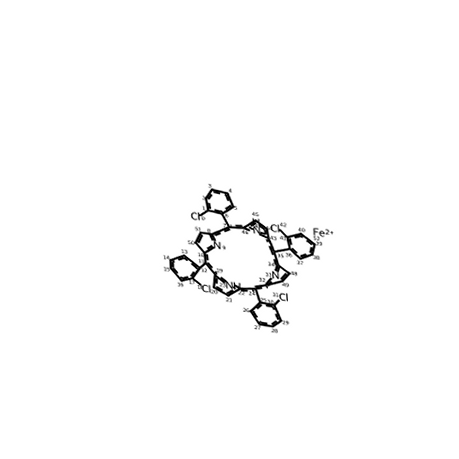 Clc1ccccc1-c1c2nc(c(-c3ccccc3Cl)c3ccc([nH]3)c(-c3ccccc3Cl)c3nc(c(-c4ccccc4Cl)c4ccc1[nH]4)C=C3)C=C2.[Fe+2]